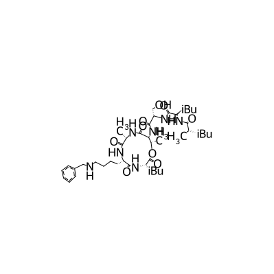 CC[C@H](C)[C@H](NC(=O)[C@H](C)[C@@H](C)CC)C(=O)N[C@@H](CO)C(=O)N[C@H]1C(=O)N[C@@H](C)C(=O)N[C@@H](CCCCNCc2ccccc2)C(=O)N[C@@H]([C@@H](C)CC)C(=O)O[C@H]1C